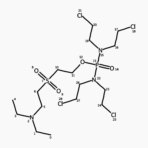 CCN(CC)CCS(=O)(=O)CCOP(=O)(N(CCCl)CCCl)N(CCCl)CCCl